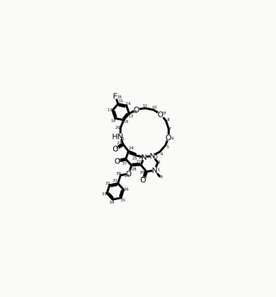 CN1CN2CCOCCOCCOc3cc(F)ccc3CNC(=O)c3cn2c(c(OCc2ccccc2)c3=O)C1=O